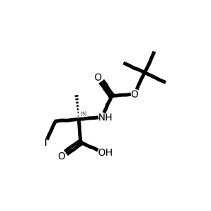 CC(C)(C)OC(=O)N[C@](C)(CI)C(=O)O